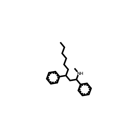 CCCCCCC(CC(NC)c1ccccc1)c1ccccc1